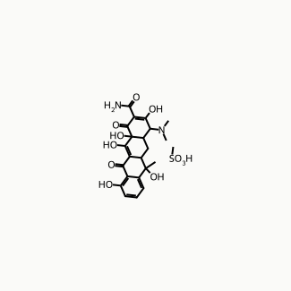 CN(C)C1C(O)=C(C(N)=O)C(=O)C2(O)C(O)=C3C(=O)c4c(O)cccc4C(C)(O)C3CC12.CS(=O)(=O)O